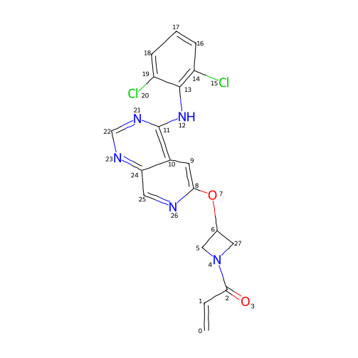 C=CC(=O)N1CC(Oc2cc3c(Nc4c(Cl)cccc4Cl)ncnc3cn2)C1